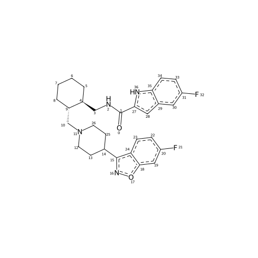 O=C(NC[C@@H]1CCCC[C@H]1CN1CCC(c2noc3cc(F)ccc23)CC1)c1cc2cc(F)ccc2[nH]1